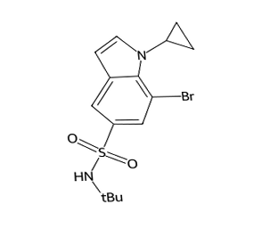 CC(C)(C)NS(=O)(=O)c1cc(Br)c2c(ccn2C2CC2)c1